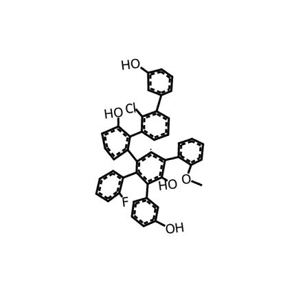 COc1ccccc1-c1[c]c(-c2cccc(O)c2-c2cccc(-c3cccc(O)c3)c2Cl)c(-c2ccccc2F)c(-c2cccc(O)c2)c1O